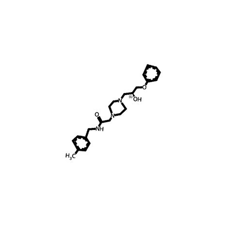 Cc1ccc(CNC(=O)CN2CCN(C[C@H](O)COc3ccccc3)CC2)cc1